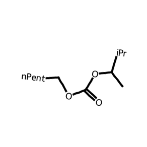 CCCCCCOC(=O)OC(C)C(C)C